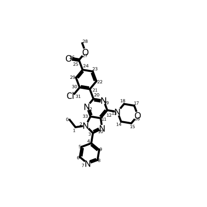 CCn1c(-c2ccncc2)nc2c(N3CCOCC3)nc(-c3ccc(C(=O)OC)cc3Cl)nc21